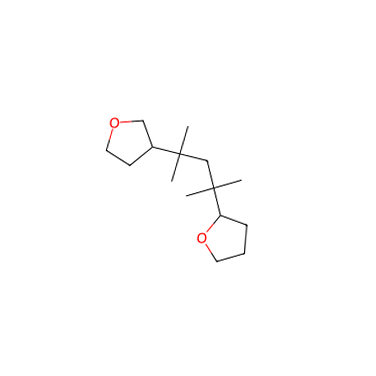 CC(C)(CC(C)(C)C1CCCO1)C1CCOC1